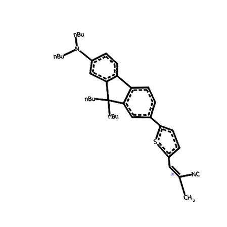 [C-]#[N+]/C(C)=C\c1ccc(-c2ccc3c(c2)C(CCCC)(CCCC)c2cc(N(CCCC)CCCC)ccc2-3)s1